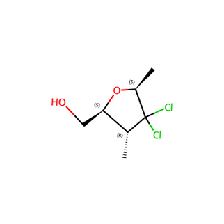 C[C@@H]1O[C@H](CO)[C@@H](C)C1(Cl)Cl